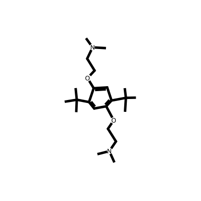 CN(C)CCOc1cc(C(C)(C)C)c(OCCN(C)C)cc1C(C)(C)C